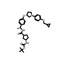 C[C@H](NC(=O)C1CC[C@@H](NC(=O)OC(C)(C)C)C1)c1ccc(O[C@@H]2CCN(c3ccc(OCC4CC4)cc3)C2)cc1